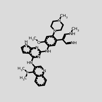 CN/C=C(\C=N)c1cc(Nc2nc(Nc3cnc4ccccc4c3P(C)C)c3cc[nH]c3n2)c(OC)cc1N1CCN(C)CC1